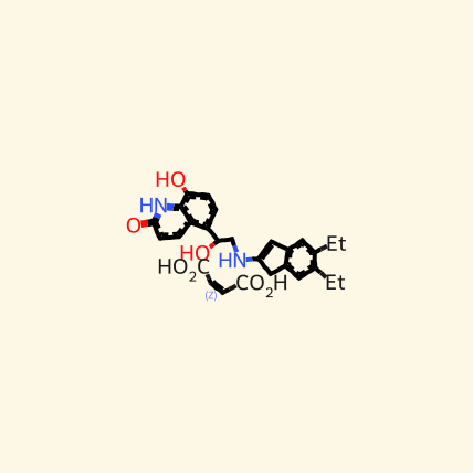 CCc1cc2c(cc1CC)CC(NCC(O)c1ccc(O)c3[nH]c(=O)ccc13)=C2.O=C(O)/C=C\C(=O)O